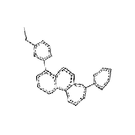 ICc1cccc(-c2cccc3c2ccc2c(-c4ccccc4)cccc23)c1